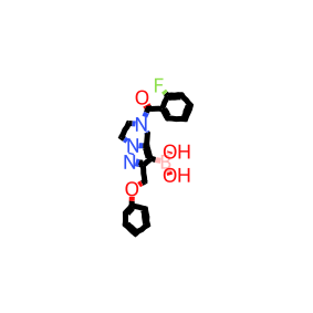 O=C(c1ccccc1F)N1CCn2nc(COc3ccccc3)c(B(O)O)c2C1